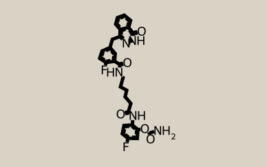 NC(=O)Oc1cc(F)ccc1NC(=O)CCCCCNC(=O)c1cc(Cc2n[nH]c(=O)c3ccccc23)ccc1F